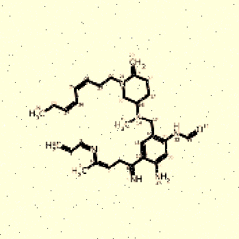 C=C/C=N\C(C)=C/CC(=N)c1cc(CN(C)C2CCC(=C)N(CC/C=C\C=C/CC)C2)c(NC=O)cc1N